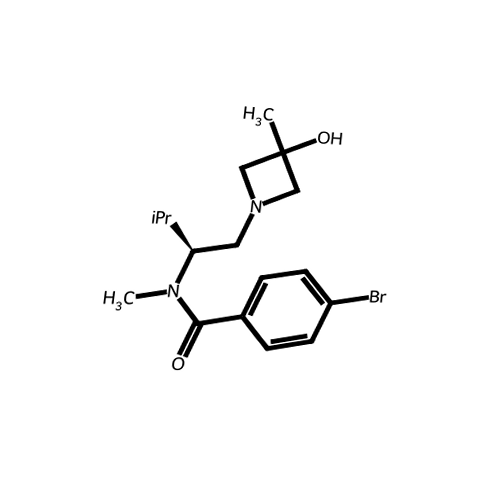 CC(C)[C@@H](CN1CC(C)(O)C1)N(C)C(=O)c1ccc(Br)cc1